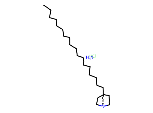 CCCCCCCCCCCCCCCCCCC12CCN(CC1)CC2.Cl.N